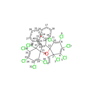 C=CC1(Cl)C(Cl)=C(Cl)C(Cl)=C(Cl)C1(Cc1ccccc1)OC1(Cc2ccccc2)C(Cl)=C(Cl)C(Cl)=C(Cl)C1(Cl)C=C